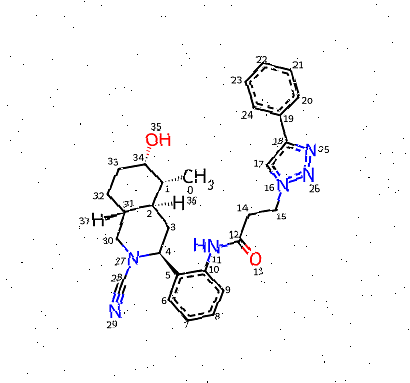 C[C@@H]1[C@H]2C[C@@H](c3ccccc3NC(=O)CCn3cc(-c4ccccc4)nn3)N(C#N)C[C@@H]2CC[C@@H]1O